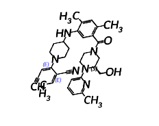 C#C/C=C(\C(C#N)=C/C)N1CCC(Nc2cc(C(=O)N3CCN(c4cccc(C)n4)[C@H](CO)C3)c(C)cc2C)CC1